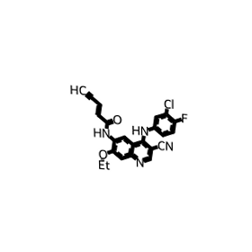 C#C/C=C/C(=O)Nc1cc2c(Nc3ccc(F)c(Cl)c3)c(C#N)cnc2cc1OCC